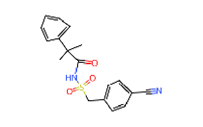 CC(C)(C(=O)NS(=O)(=O)Cc1ccc(C#N)cc1)c1ccccc1